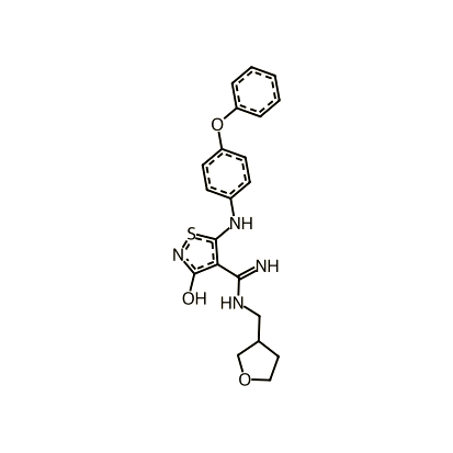 N=C(NCC1CCOC1)c1c(O)nsc1Nc1ccc(Oc2ccccc2)cc1